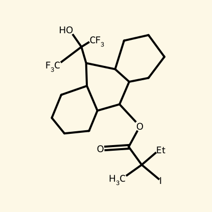 CCC(C)(I)C(=O)OC1C2CCCCC2C(C(O)(C(F)(F)F)C(F)(F)F)C2CCCCC21